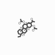 CC[C@@]1(C)CCC[C@]2(C)[C@H]3C[C@H](OC(C)=O)[C@]4(C)C=C(C(C)=O)[C@H](OC(C)=O)C[C@H]4[C@]3(C)CC[C@@H]12